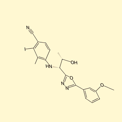 COc1cccc(-c2nnc([C@H](Nc3ccc(C#N)c(I)c3C)[C@H](C)O)o2)c1